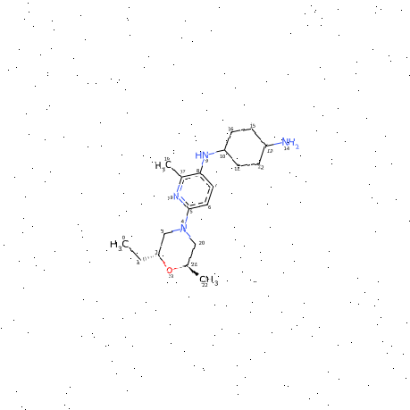 CC[C@@H]1CN(c2ccc(NC3CCC(N)CC3)c(C)n2)C[C@@H](C)O1